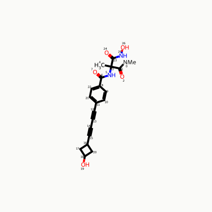 CNC(=O)C(C)(NC(=O)c1ccc(C#CC#CC2CC(O)C2)cc1)C(=O)NO